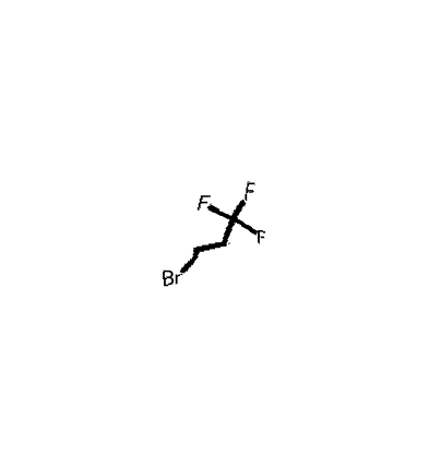 FC(F)(F)[CH]CBr